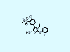 Br.CCn1c(-c2ccc(Cl)c(S(=O)(=O)N(C)C)c2)cs/c1=N/c1ccccc1C